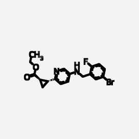 CCOC(=O)[C@@H]1C[C@H]1c1ccc(NCc2cc(Br)ccc2F)cn1